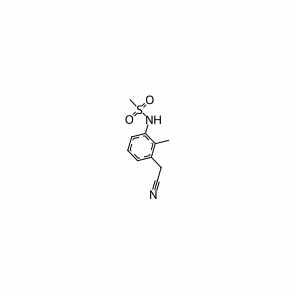 Cc1c(CC#N)cccc1NS(C)(=O)=O